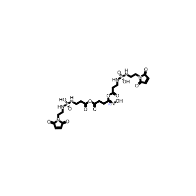 O=C(CCNP(=O)(O)NCCN1C(=O)C=CC1=O)OC(=O)CC/C(=N/O)OC(=O)CCNP(=O)(O)NCCN1C(=O)C=CC1=O